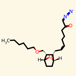 CCCCCCOC[C@@H]1[C@H](C/C=C\CCCC(=O)C=[N+]=[N-])[C@@H]2CC[C@H]1O2